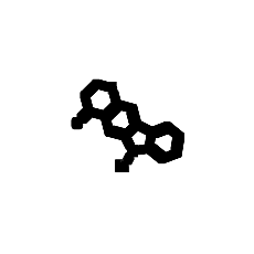 CCn1c2ccccc2c2cc3c(cc21)C(=O)CCS3